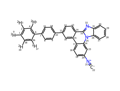 [2H]c1c([2H])c([2H])c(-c2ccc(-c3ccc4c(c3)c3ccc([N+]#[C-])cc3n3c5ccccc5nc43)cc2)c([2H])c1[2H]